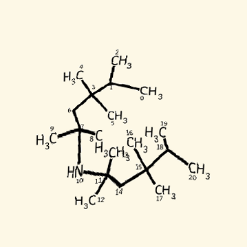 CC(C)C(C)(C)CC(C)(C)NC(C)(C)CC(C)(C)C(C)C